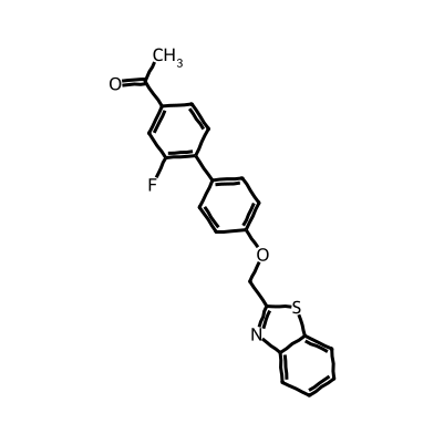 CC(=O)c1ccc(-c2ccc(OCc3nc4ccccc4s3)cc2)c(F)c1